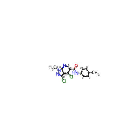 Cc1ccc(NC(=O)c2cnc3c(c(Cl)nn3C)c2Cl)cc1